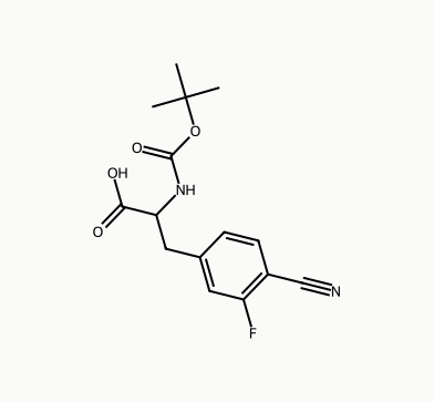 CC(C)(C)OC(=O)NC(Cc1ccc(C#N)c(F)c1)C(=O)O